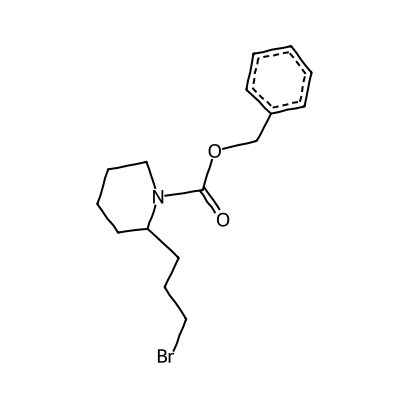 O=C(OCc1ccccc1)N1CCCCC1CCCBr